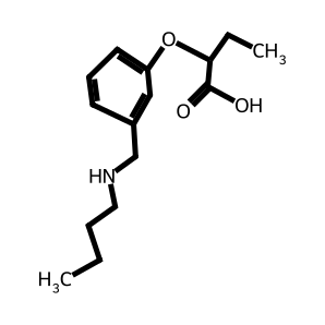 CCCCNCc1cccc(OC(CC)C(=O)O)c1